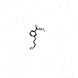 CC(C)CCCc1cccc(C(N)=O)c1